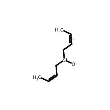 C/C=C\C[S+]([O-])C/C=C\C